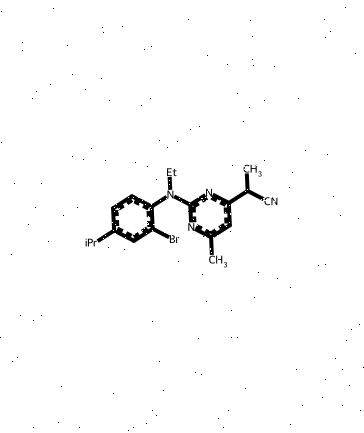 CCN(c1nc(C)cc(C(C)C#N)n1)c1ccc(C(C)C)cc1Br